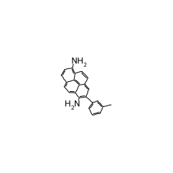 Cc1cccc(-c2cc3ccc4c(N)ccc5ccc(c2N)c3c54)c1